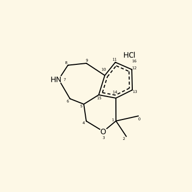 CC1(C)OCC2CNCCc3cccc1c32.Cl